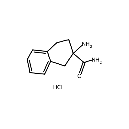 Cl.NC(=O)C1(N)CCc2ccccc2C1